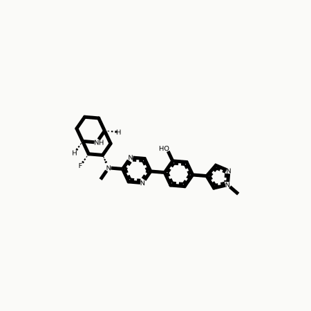 CN(c1cnc(-c2ccc(-c3cnn(C)c3)cc2O)cn1)[C@H]1C[C@@H]2CCC[C@@H](N2)[C@H]1F